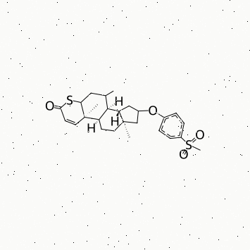 CC1CC2SC(=O)C=C[C@]2(C)[C@@H]2CC[C@]3(C)CC(Oc4ccc(S(C)(=O)=O)cc4)C[C@H]3[C@H]12